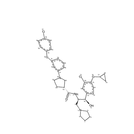 O=C(N[C@H](CN1CCCC1)[C@H](O)c1ccc(OC2CC2)c(Cl)c1)[C@@H]1CCN(c2cccc(Oc3ccc(Cl)cc3)n2)C1